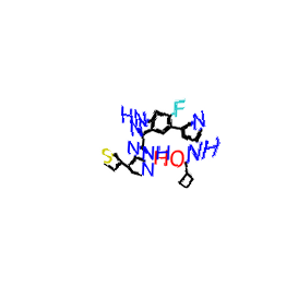 OC(Nc1cncc(-c2cc3c(-c4nc5c(-c6ccsc6)ccnc5[nH]4)n[nH]c3cc2F)c1)C1CCC1